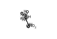 CC(C)[C@H](C[C@H](O)[C@H](CC1CCCCC1)NC(=O)c1ccccn1)C(=O)NCC=CCNc1ncccc1[N+](=O)[O-]